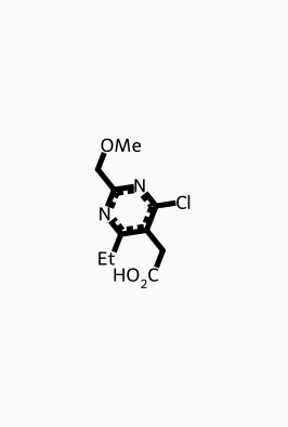 CCc1nc(COC)nc(Cl)c1CC(=O)O